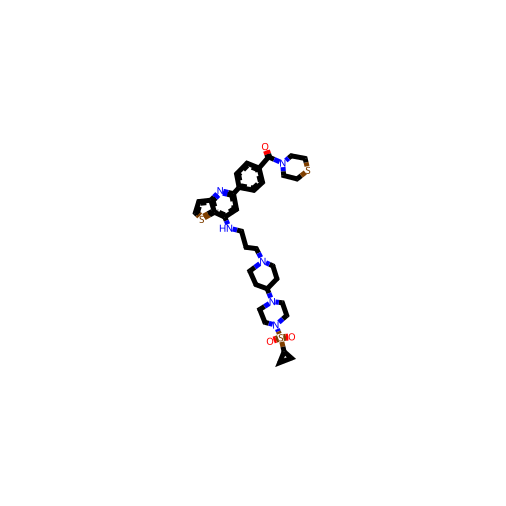 O=C(c1ccc(-c2cc(NCCCN3CCC(N4CCN(S(=O)(=O)C5CC5)CC4)CC3)c3sccc3n2)cc1)N1CCSCC1